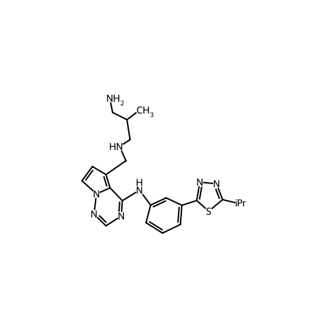 CC(CN)CNCc1ccn2ncnc(Nc3cccc(-c4nnc(C(C)C)s4)c3)c12